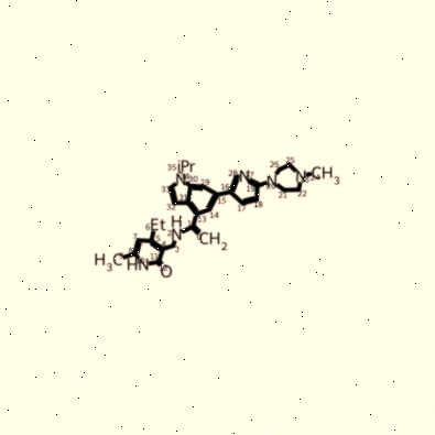 C=C(NCc1c(CC)cc(C)[nH]c1=O)c1cc(-c2ccc(N3CCN(C)CC3)nc2)cc2c1ccn2C(C)C